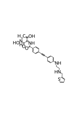 C[C@@H](O)[C@H](NC(=O)c1ccc(C#Cc2ccc(NCCNCc3cccs3)cc2)cc1)C(=O)NO